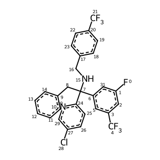 Fc1cc(C(F)(F)F)cc(C(Cc2ccccc2)(NCc2ccc(C(F)(F)F)cc2)c2ccc(Cl)cn2)c1